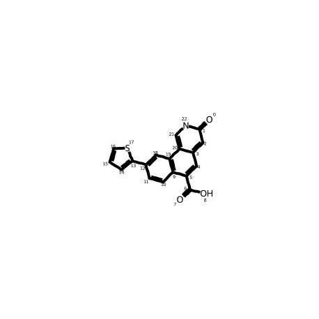 O=C1C=c2cc(C(=O)O)c3ccc(-c4cccs4)cc3c2=C[N]1